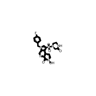 O=C1CN(S(=O)(=O)c2cn(Cc3ccc(F)cc3)c3cnc4c(=O)n(O)ccc4c23)CCN1